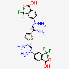 N/C(=C\N(N)c1ccc(C(=O)O)c(C(F)(F)F)c1)c1ccc(/C(N)=C/N(N)c2ccc(C(=O)O)c(C(F)(F)F)c2)s1